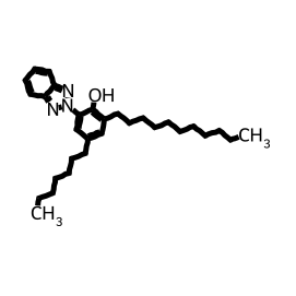 CCCCCCCCCCCc1cc(CCCCCCC)cc(-n2nc3ccccc3n2)c1O